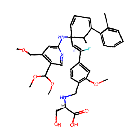 COCc1cc(NC2(/C=C(\F)c3ccc(CN[C@H](CO)C(=O)O)c(OC)c3)C=CC=C(c3ccccc3C)C2C)ncc1C(OC)OC